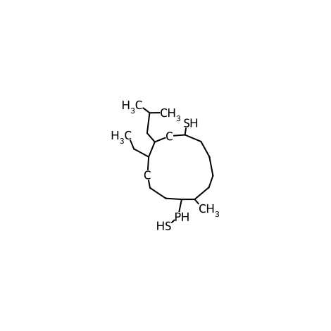 CCC1CCCC(PS)C(C)CCCCC(S)CC1CC(C)C